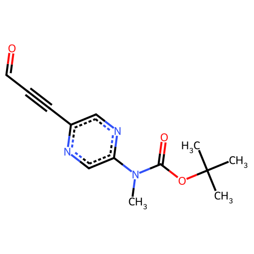 CN(C(=O)OC(C)(C)C)c1cnc(C#CC=O)cn1